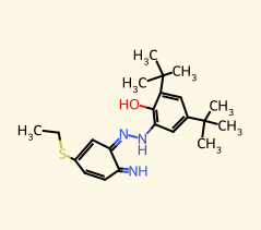 CCSC1=C/C(=N/Nc2cc(C(C)(C)C)cc(C(C)(C)C)c2O)C(=N)C=C1